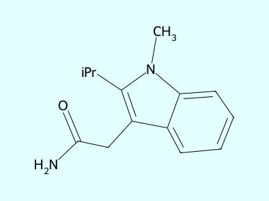 CC(C)c1c(CC(N)=O)c2ccccc2n1C